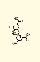 O=CC(CCC(=O)O)CP(O)(=S)CC(CCC(=O)O)C(=O)O